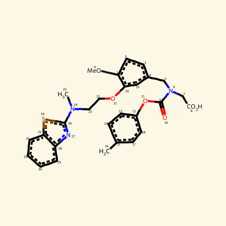 COc1ccc(CN(CC(=O)O)C(=O)Oc2ccc(C)cc2)cc1OCCN(C)c1nc2ccccc2s1